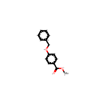 CCCCOC(=O)c1ccc(OCc2ccccc2)cc1